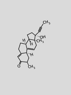 CC#C[C@]1(O)CC[C@H]2[C@@H]3CCC4=CC(=O)C(C)C[C@@H]4C3=CC[C@@]21C